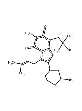 CC(C)=CCn1c(N2CCCC(N)C2)nc2c1c(=O)n(C)c(=O)n2CC(C)(C)N